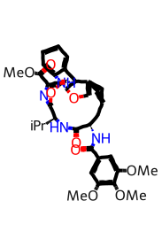 COC(=O)c1nc2oc1[C@@]13c4ccccc4NC1Oc1ccc(cc13)C[C@H](NC(=O)c1cc(OC)c(OC)c(OC)c1)C(=O)N[C@H]2C(C)C